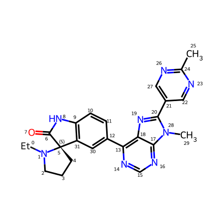 CCN1CCC[C@]12C(=O)Nc1ccc(-c3ncnc4c3nc(-c3cnc(C)nc3)n4C)cc12